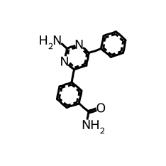 NC(=O)c1cccc(-c2cc(-c3ccccc3)nc(N)n2)c1